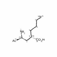 CC(=O)[C@@H](N)C[C@H](CCC[18F])C(=O)O